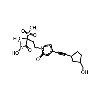 CC(CCn1ccc(C#CC2CCC(CO)C2)cc1=O)(C(=O)NO)S(C)(=O)=O